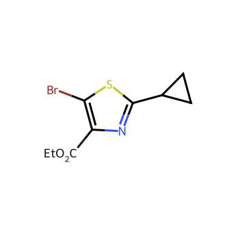 CCOC(=O)c1nc(C2CC2)sc1Br